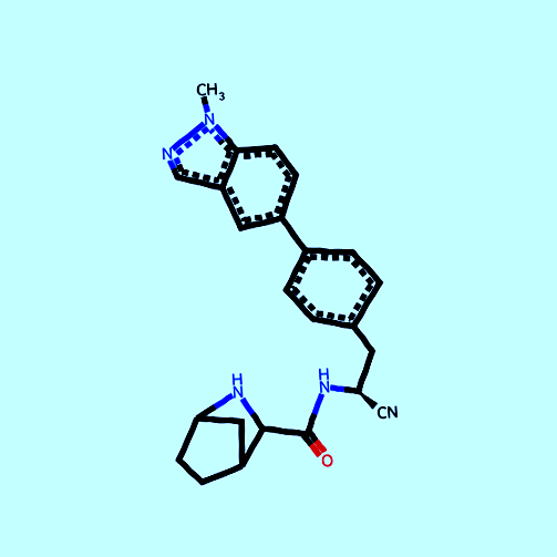 Cn1ncc2cc(-c3ccc(C[C@@H](C#N)NC(=O)C4NC5CCC4C5)cc3)ccc21